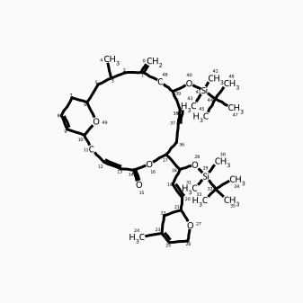 C=C1CC(C)CC2CC=CC(CC=CC(=O)OC(C(C=CC3CC(C)=CCO3)O[Si](C)(C)C(C)(C)C)CC=CC(O[Si](C)(C)C(C)(C)C)C1)O2